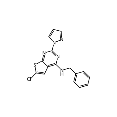 Clc1cc2c(NCc3ccccc3)nc(-n3cccn3)nc2s1